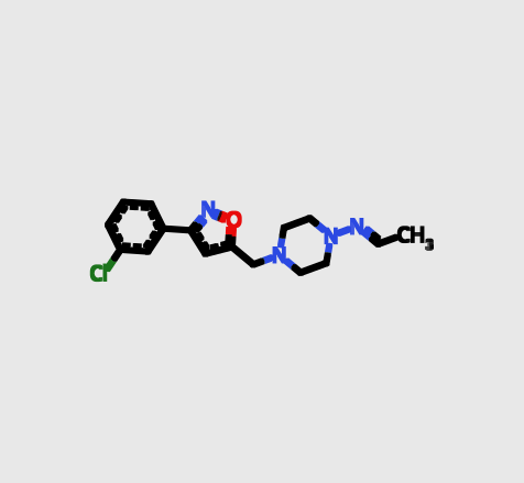 C/C=N/N1CCN(Cc2cc(-c3cccc(Cl)c3)no2)CC1